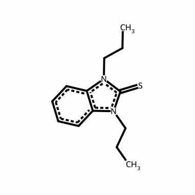 CCCn1c(=S)n(CCC)c2ccccc21